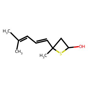 CC(C)=C/C=C/C1(C)CC(O)S1